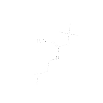 CNCCNC(=O)OC(C)(C)C.N